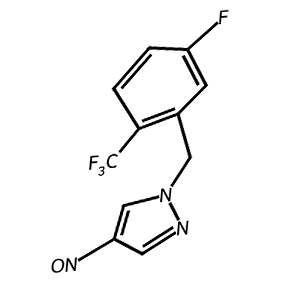 O=Nc1cnn(Cc2cc(F)ccc2C(F)(F)F)c1